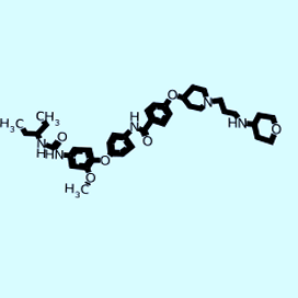 CCC(CC)NC(=O)Nc1ccc(Oc2ccc(NC(=O)c3ccc(OC4CCN(CCCNC5CCOCC5)CC4)cc3)cc2)c(OC)c1